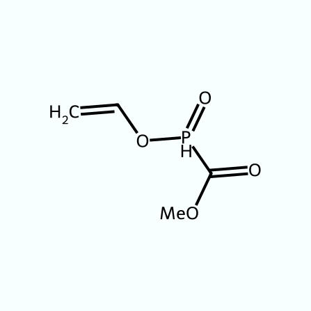 C=CO[PH](=O)C(=O)OC